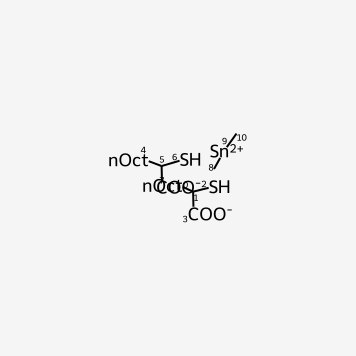 CCCCCCCCC(S)C(=O)[O-].CCCCCCCCC(S)C(=O)[O-].[CH3][Sn+2][CH3]